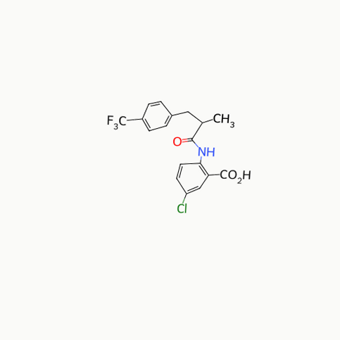 CC(Cc1ccc(C(F)(F)F)cc1)C(=O)Nc1ccc(Cl)cc1C(=O)O